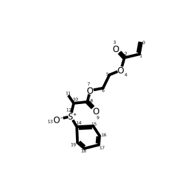 C=CC(=O)OCCOC(=O)C(C)[S+]([O-])c1ccccc1